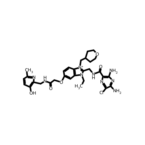 CCn1c(CNC(=O)c2nc(Cl)c(N)nc2N)[n+](CC2CCOCC2)c2ccc(OCC(=O)NCc3nc(C)ccc3O)cc21